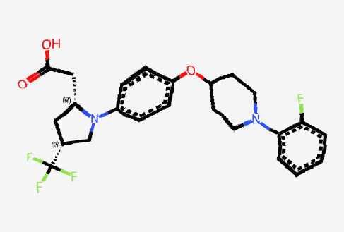 O=C(O)C[C@H]1C[C@@H](C(F)(F)F)CN1c1ccc(OC2CCN(c3ccccc3F)CC2)cc1